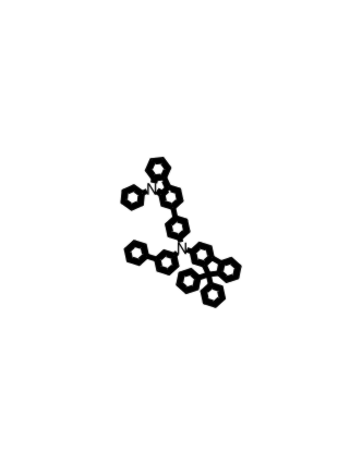 c1ccc(-c2cccc(N(c3ccc(-c4ccc5c6ccccc6n(-c6ccccc6)c5c4)cc3)c3ccc4c(c3)C(c3ccccc3)(c3ccccc3)c3ccccc3-4)c2)cc1